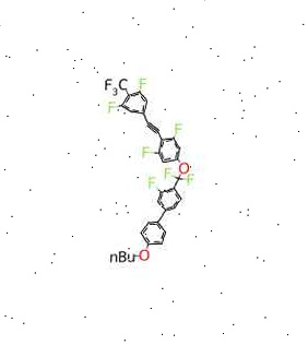 CCCCOc1ccc(-c2ccc(C(F)(F)Oc3cc(F)c(C#Cc4cc(F)c(C(F)(F)F)c(F)c4)c(F)c3)c(F)c2)cc1